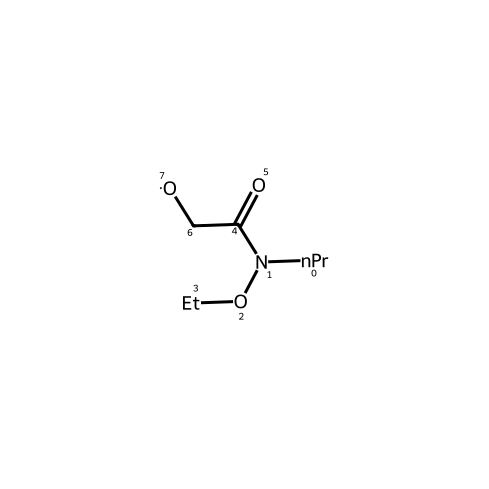 CCCN(OCC)C(=O)C[O]